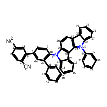 N#Cc1ccc(C#N)c(-c2ccc(-n3c4ccccc4c4c3ccc3c5ccccc5n(-c5ccccc5)c34)c(-c3ccccc3)c2)c1